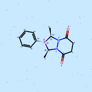 C[C@@H]1N2C(=O)CCC(=O)N2[C@H](C)[P@@]1c1ccccc1